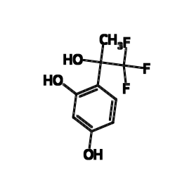 CC(O)(c1ccc(O)cc1O)C(F)(F)F